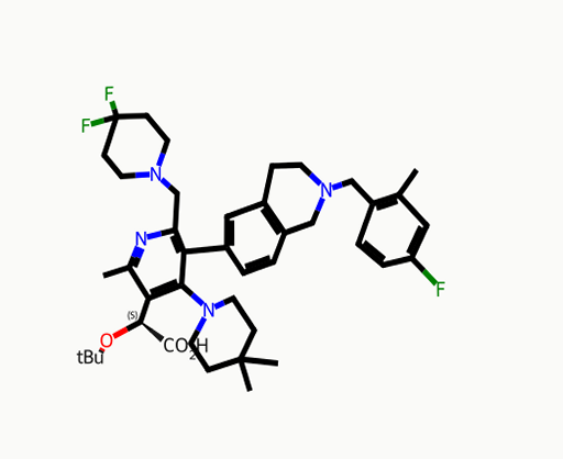 Cc1cc(F)ccc1CN1CCc2cc(-c3c(CN4CCC(F)(F)CC4)nc(C)c([C@H](OC(C)(C)C)C(=O)O)c3N3CCC(C)(C)CC3)ccc2C1